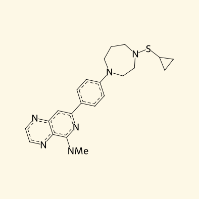 CNc1nc(-c2ccc(N3CCCN(SC4CC4)CC3)cc2)cc2nccnc12